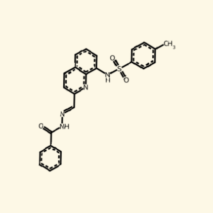 Cc1ccc(S(=O)(=O)Nc2cccc3ccc(/C=N/NC(=O)c4ccccc4)nc23)cc1